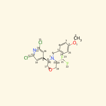 COc1ccc(CN2[C@H](c3cc(Cl)nc(Cl)c3)COC[C@H]2C(F)F)cc1